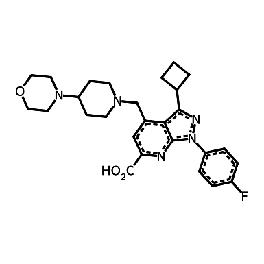 O=C(O)c1cc(CN2CCC(N3CCOCC3)CC2)c2c(C3CCC3)nn(-c3ccc(F)cc3)c2n1